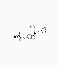 O=C(/C=C/c1ccc2c(c1)CCC2N(CCO)CCc1cccnc1)NO